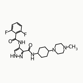 CN1CCN(C2CCC(NC(=O)c3n[nH]cc3NC(=O)c3c(F)cccc3F)CC2)CC1